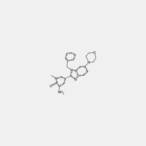 Cn1cc(-c2nc3ccc(N4CCOCC4)cc3n2Cc2ccccc2)cc(N)c1=O